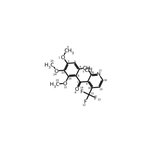 COc1cc(C)c(C(=O)c2c(C(F)(F)F)ccnc2Cl)c(OC)c1OC